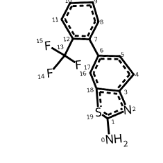 Nc1nc2ccc(-c3ccccc3C(F)(F)F)cc2s1